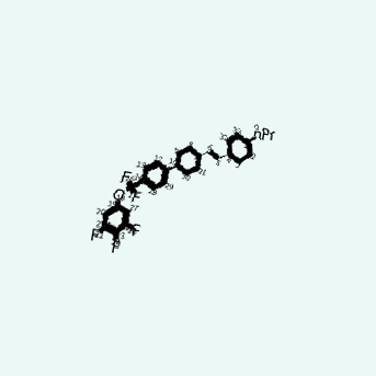 CCC[C@H]1CC[C@H](CC[C@H]2CC[C@H](c3ccc(C(F)(F)Oc4cc(F)c(F)c(F)c4)cc3)CC2)CC1